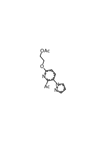 CC(=O)OCCOc1ccc(-n2cccn2)c(C(C)=O)n1